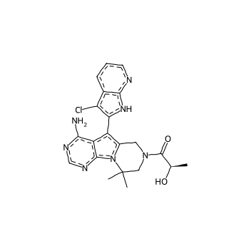 C[C@@H](O)C(=O)N1Cc2c(-c3[nH]c4ncccc4c3Cl)c3c(N)ncnc3n2C(C)(C)C1